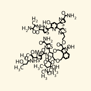 C=C(NC(=O)c1csc(-c2nc(-c3csc(CCOC(=O)c4c5c6c(cccc6n4O)COC(=O)[C@@H](O[C@H]4C[C@](C)(O)[C@H](N(C)C)[C@H](C)O4)C([C@H](NC(=O)c4csc(/C(NC(=O)C[C@@H](C)O)=C(/C)OC)n4)c4nc(C(N)=O)cs4)OC5)n3)c(-c3nc(C(N)=O)cs3)cc2O)n1)C(N)=O